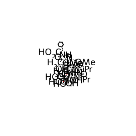 CCC(C)C(C(CC(=O)N1CCCC1C(OC)C(C)C(=O)NC(Cc1ccccc1)C(=O)O)OC)N(C)C(=O)C(NC(=O)C(C(C)C)N(C)CC(NC(C)O)C(O)C(OC1OC(CO)C(O)C(O)C1O)C(O)CO)C(C)C